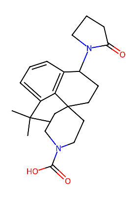 CC(C)(C)c1cccc2c1C1(CCC2N2CCCC2=O)CCN(C(=O)O)CC1